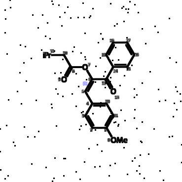 COc1ccc(/C=C(/OC(=O)CC(C)C)C(=O)c2ccccc2)cc1